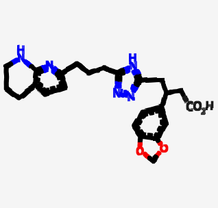 O=C(O)CC(Cc1nnc(CCCc2ccc3c(n2)NCCC3)[nH]1)c1ccc2c(c1)OCO2